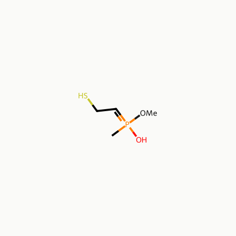 COP(C)(O)=CCS